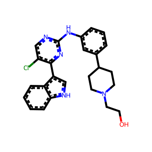 OCCN1CCC(c2cccc(Nc3ncc(Cl)c(-c4c[nH]c5ccccc45)n3)c2)CC1